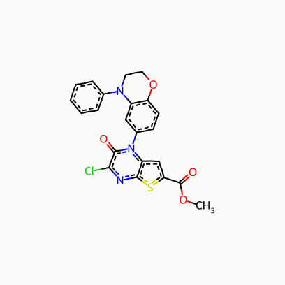 COC(=O)c1cc2c(nc(Cl)c(=O)n2-c2ccc3c(c2)N(c2ccccc2)CCO3)s1